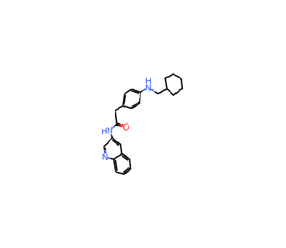 O=C(Cc1ccc(NCC2CCCCC2)cc1)Nc1cnc2ccccc2c1